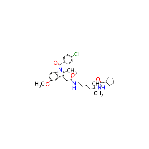 COc1ccc2c(c1)c(CC(=O)NCCCCC(C)(C)NC(=O)C1CCCC1)c(C)n2C(=O)c1ccc(Cl)cc1